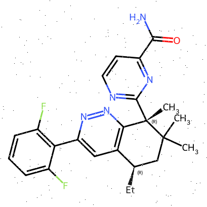 CC[C@@H]1CC(C)(C)[C@@](C)(c2nccc(C(N)=O)n2)c2nnc(-c3c(F)cccc3F)cc21